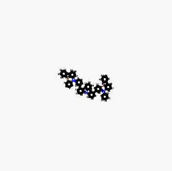 c1ccc(N(c2cccc(-c3cccc4c3c3cccc5c6c(-c7cccc(N(c8ccccc8)c8cccc9c8sc8ccccc89)c7)cccc6n4c35)c2)c2cccc3c2sc2ccccc23)cc1